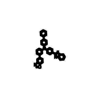 c1ccc(-c2ccc(N(c3ccc(-c4nc5ccccc5s4)cc3)c3cccc(-c4ccc5ocnc5c4)c3)cc2)cc1